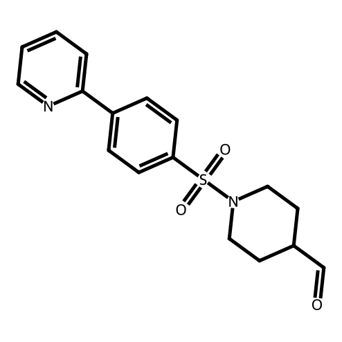 O=CC1CCN(S(=O)(=O)c2ccc(-c3ccccn3)cc2)CC1